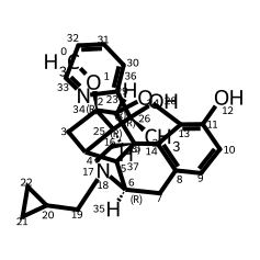 CO[C@@]12CC(C3[C@H]4Cc5ccc(O)c6c5[C@@]3(CCN4CC3CC3)[C@H]1O6)[C@@H]2[C@@](C)(O)c1ccccn1